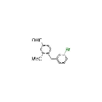 COc1cc(C=O)ccc1Cc1cccc(Br)c1